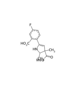 COC(=O)C1(C)C=C(c2ccc(F)cc2C(=O)O)NC1C